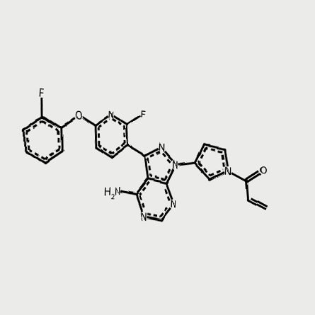 C=CC(=O)n1ccc(-n2nc(-c3ccc(Oc4ccccc4F)nc3F)c3c(N)ncnc32)c1